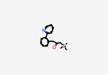 C[Si](C)(C)CC(=O)Cc1ccccc1-c1ccccn1